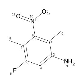 Cc1c(N)cc(F)c(C)c1[N+](=O)[O-]